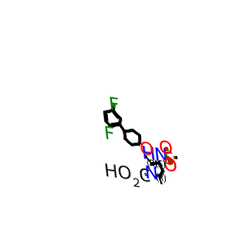 C[C@@H]1C[C@H](NS(C)(=O)=O)[C@H](COC2CCC(c3cc(F)ccc3F)CC2)N1C(=O)O